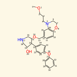 COCCCN1CCOc2ccc(CO[C@H]3CNC[C@@H](O)C3c3ccc(Oc4ccccc4)cc3)cc21